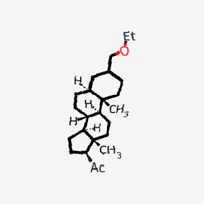 CCOCC1CC[C@@]2(C)[C@@H](CC[C@@H]3[C@@H]2CC[C@]2(C)[C@@H](C(C)=O)CC[C@@H]32)C1